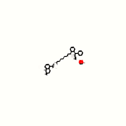 O=C(NC(c1ccccc1)c1cccc(C(=O)O)c1CCCCCCCCNCC(O)c1ccc(O)c2[nH]c(=O)ccc12)OC1CN2CCC1CC2